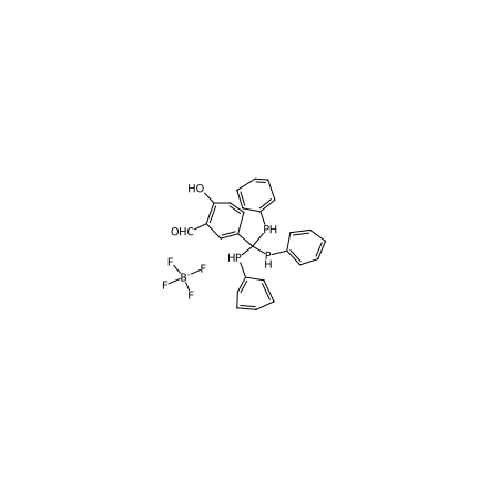 F[B-](F)(F)F.O=Cc1cc(C(Pc2ccccc2)(Pc2ccccc2)Pc2ccccc2)ccc1O